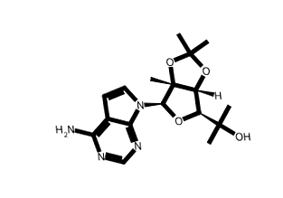 CC1(C)O[C@@H]2[C@@H](C(C)(C)O)O[C@@H](n3ccc4c(N)ncnc43)[C@]2(C)O1